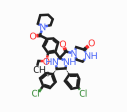 CCOc1cc(C(=O)N2CCCCC2)ccc1C1(C(=O)N2CCNC(=O)C2)N[C@H](c2ccc(Cl)cc2)[C@H](c2ccc(Cl)cc2)N1